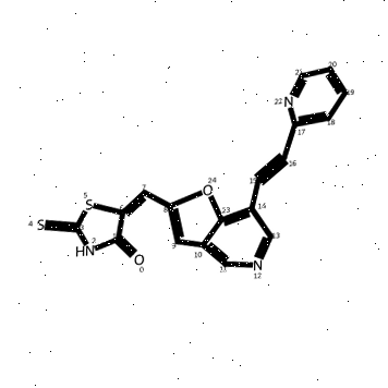 O=C1NC(=S)S/C1=C/c1cc2cncc(C#Cc3ccccn3)c2o1